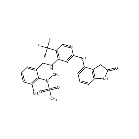 Cc1cccc(CNc2nc(Nc3cccc4c3CC(=O)N4)ncc2C(F)(F)F)c1N(C)S(C)(=O)=O